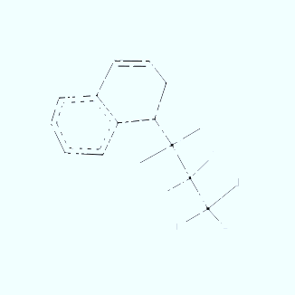 FC(F)(F)C(F)(F)C(F)(F)[C]1CC=Cc2ccccc21